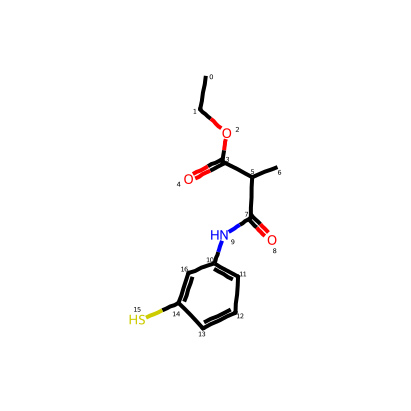 CCOC(=O)C(C)C(=O)Nc1cccc(S)c1